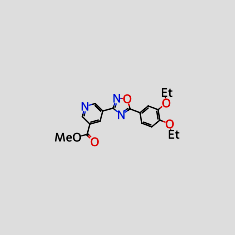 CCOc1ccc(-c2nc(-c3cncc(C(=O)OC)c3)no2)cc1OCC